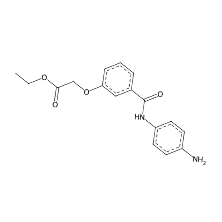 CCOC(=O)COc1cccc(C(=O)Nc2ccc(N)cc2)c1